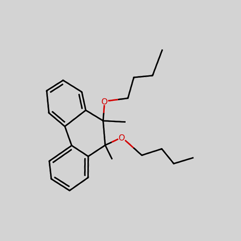 CCCCOC1(C)c2ccccc2-c2ccccc2C1(C)OCCCC